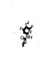 CCOC(=O)Nc1cc(F)c(SI)c(F)n1